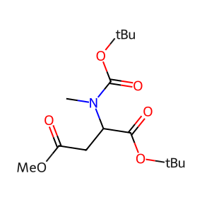 COC(=O)CC(C(=O)OC(C)(C)C)N(C)C(=O)OC(C)(C)C